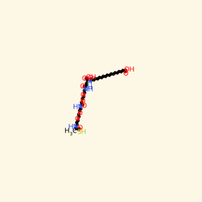 C[C@H](NCCCOCCOCCNC(=O)COCCOCCNC(=O)CC[C@H](NC(=O)CCCCCCCCCCCCCCCCC(=O)O)C(=O)O)C(=O)S